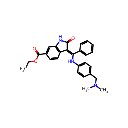 CN(C)Cc1ccc(NC(=C2C(=O)Nc3cc(C(=O)OCC(F)(F)F)ccc32)c2ccccc2)cc1